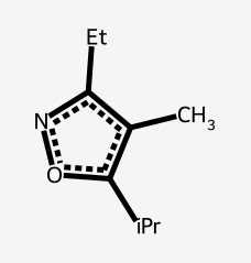 CCc1noc(C(C)C)c1C